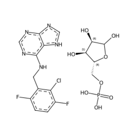 Fc1ccc(F)c(CNc2ncnc3nc[nH]c23)c1Cl.O=P(O)(O)OC[C@H]1OC(O)[C@H](O)[C@@H]1O